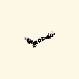 N#Cc1cnn2c(C(=O)Nc3cc4cn(C5CCC(N6CCN(CCc7cc(F)c([C@H]8CCC(=O)NC8=O)c(F)c7)CC6)CC5)nc4c4c3OC(F)(F)O4)ccc2c1